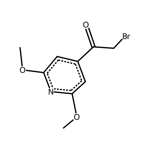 COc1cc(C(=O)CBr)cc(OC)n1